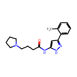 O=C(CCCN1CCCC1)Nc1cc(-c2ccccc2C(F)(F)F)n[nH]1